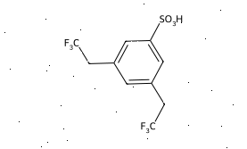 O=S(=O)(O)c1cc(CC(F)(F)F)cc(CC(F)(F)F)c1